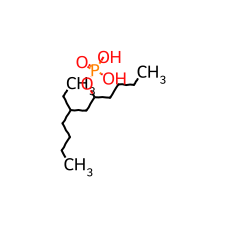 CCCCC(CC)CC(CCCC)OP(=O)(O)O